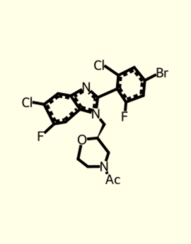 CC(=O)N1CCO[C@@H](Cn2c(-c3c(F)cc(Br)cc3Cl)nc3cc(Cl)c(F)cc32)C1